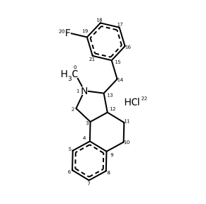 CN1CC2c3ccccc3CCC2C1Cc1cccc(F)c1.Cl